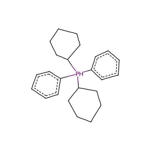 c1ccc([PH](c2ccccc2)(C2CCCCC2)C2CCCCC2)cc1